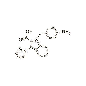 Nc1ccc(Cn2c(C(=O)O)c(-c3cccs3)c3ccccc32)cc1